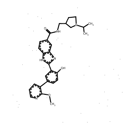 COc1ncccc1-c1ccc(O)c(-c2nc3cc(C(=O)NCC4CCN(C(C)C)C4)ccc3[nH]2)c1